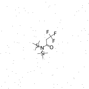 C[Si](C)(C)N(C(=O)CC(F)(F)F)[Si](C)(C)C